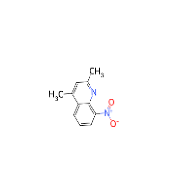 Cc1cc(C)c2cccc([N+](=O)[O-])c2n1